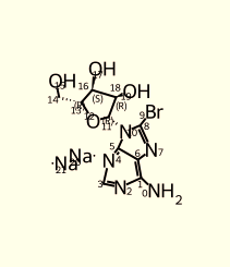 Nc1ncnc2c1nc(Br)n2[C@@H]1O[C@H](CO)[C@@H](O)[C@H]1O.[Na].[Na]